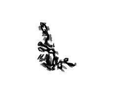 C=CC(=O)N1CCC[C@@H](n2nc(-c3ccc(C(=O)NCCN4CCOCC4)c(Cl)c3)c3c(N)ncnc32)C1